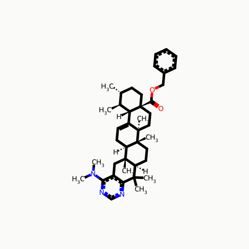 C[C@H]1[C@H](C)CC[C@]2(C(=O)OCc3ccccc3)CC[C@]3(C)C(=CC[C@@H]4[C@@]5(C)Cc6c(N(C)C)ncnc6C(C)(C)[C@@H]5CC[C@]43C)[C@H]12